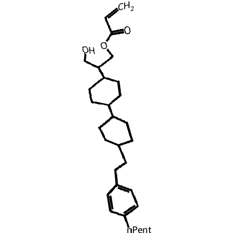 C=CC(=O)OCC(CO)C1CCC(C2CCC(CCc3ccc(CCCCC)cc3)CC2)CC1